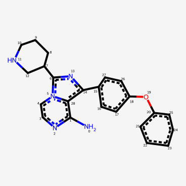 Nc1nccn2c(C3CCCNC3)nc(-c3ccc(Oc4ccccc4)cc3)c12